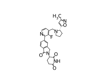 Cc1cc([C@@H]2CCCN2Cc2ccnc(-c3ccc4c(c3)CN(C3CCC(=O)NC3=O)C4=O)c2F)on1